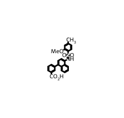 COc1cc(C)ccc1S(=O)(=O)Nc1ccc(-c2cccc(C(=O)O)c2)c2ccccc12